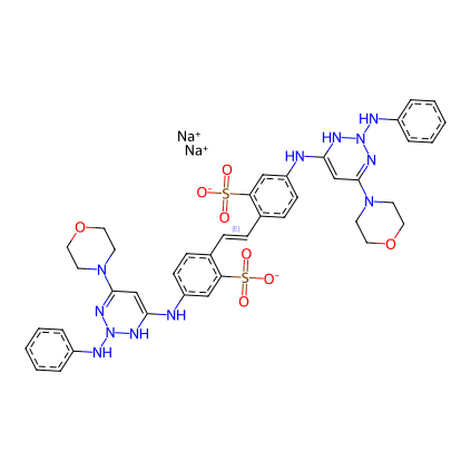 O=S(=O)([O-])c1cc(NC2=CC(N3CCOCC3)=NN(Nc3ccccc3)N2)ccc1/C=C/c1ccc(NC2=CC(N3CCOCC3)=NN(Nc3ccccc3)N2)cc1S(=O)(=O)[O-].[Na+].[Na+]